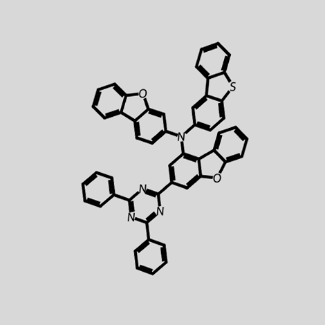 c1ccc(-c2nc(-c3ccccc3)nc(-c3cc(N(c4ccc5c(c4)oc4ccccc45)c4ccc5sc6ccccc6c5c4)c4c(c3)oc3ccccc34)n2)cc1